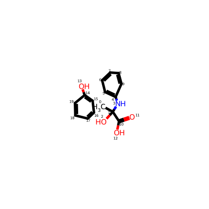 CC(O)(Nc1ccccc1)C(=O)O.Oc1ccccc1